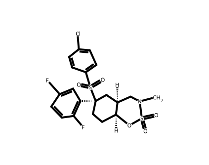 CN1C[C@@H]2C[C@](c3cc(F)ccc3F)(S(=O)(=O)c3ccc(Cl)cc3)CC[C@@H]2OS1(=O)=O